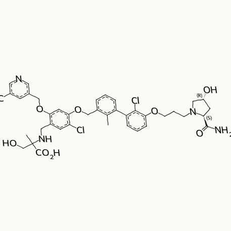 Cc1c(COc2cc(OCc3cncc(C#N)c3)c(CNC(C)(CO)C(=O)O)cc2Cl)cccc1-c1cccc(OCCCN2C[C@H](O)C[C@H]2C(N)=O)c1Cl